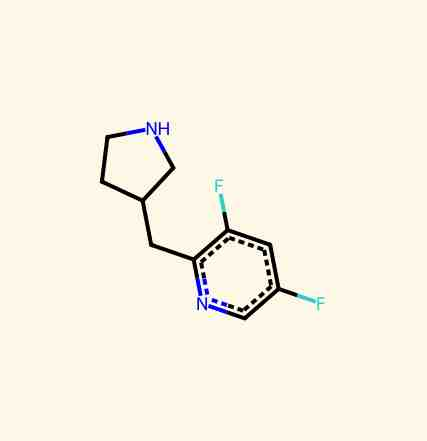 Fc1cnc(CC2CCNC2)c(F)c1